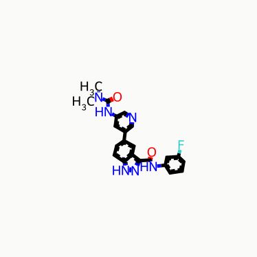 CN(C)C(=O)Nc1cncc(-c2ccc3[nH]nc(C(=O)Nc4cccc(F)c4)c3c2)c1